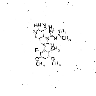 C/N=C1\N(c2c(F)c(OC)cc(OC)c2F)Cc2cnc3[nH]ncc3c2N1/C(N)=N/N(C)N